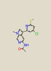 CSc1cc(Cl)cc(-c2cn(C)c3cnc(NC(C)=O)cc23)n1